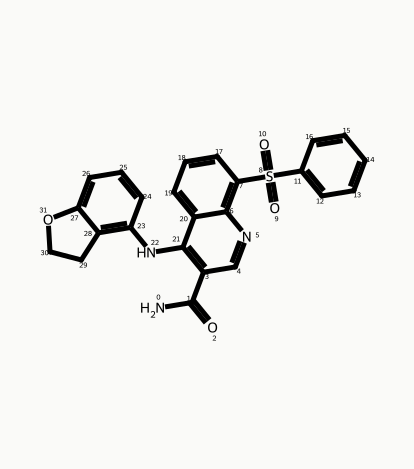 NC(=O)c1cnc2c(S(=O)(=O)c3ccccc3)cccc2c1Nc1cccc2c1CCO2